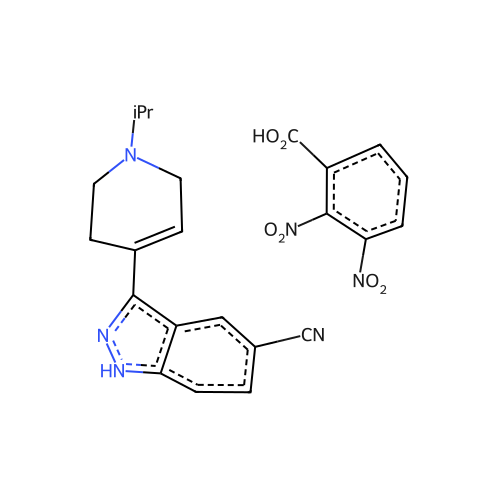 CC(C)N1CC=C(c2n[nH]c3ccc(C#N)cc23)CC1.O=C(O)c1cccc([N+](=O)[O-])c1[N+](=O)[O-]